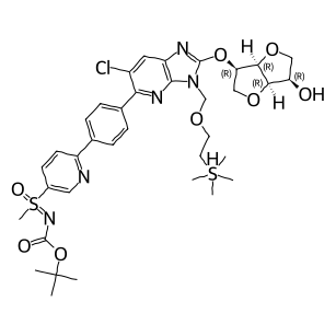 CC(C)(C)OC(=O)N=S(C)(=O)c1ccc(-c2ccc(-c3nc4c(cc3Cl)nc(O[C@@H]3CO[C@H]5[C@@H]3OC[C@H]5O)n4COCC[SH](C)(C)(C)C)cc2)nc1